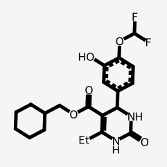 CCC1=C(C(=O)OCC2CCCCC2)C(c2ccc(OC(F)F)c(O)c2)NC(=O)N1